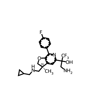 C[C@]1(CNCC2CC2)COc2c1cc(C(O)(CN)C(F)(F)F)nc2-c1ccc(F)cc1